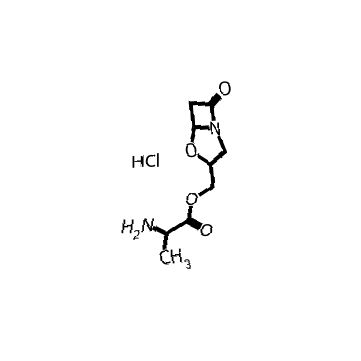 CC(N)C(=O)OCC1CN2C(=O)CC2O1.Cl